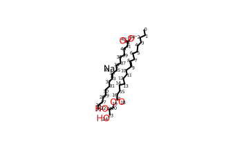 CCCCCCCCC=CCCCCCCCC(=O)OCC(O)CO.CCCCCCCCC=CCCCCCCCC(=O)[O-].[Na+]